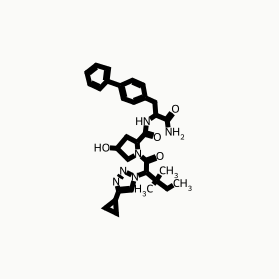 CCC(C)(C)C(C(=O)N1CC(O)CC1C(=O)NC(Cc1ccc(-c2ccccc2)cc1)C(N)=O)n1cc(C2CC2)nn1